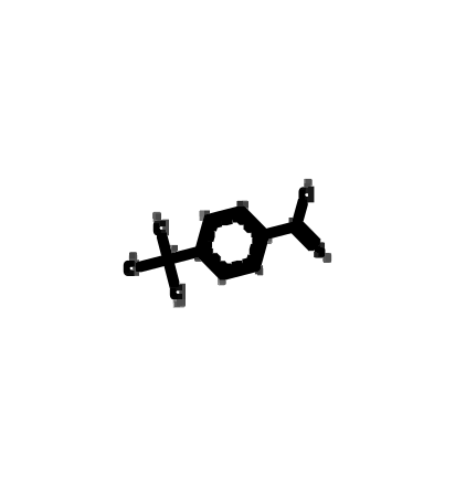 S=C(Cl)c1ccc(C(Cl)(Cl)Cl)cc1